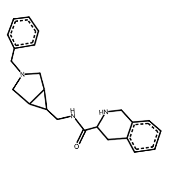 O=C(NCC1C2CN(Cc3ccccc3)CC12)C1Cc2ccccc2CN1